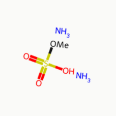 COS(=O)(=O)O.N.N